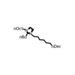 CCCCCCCCCCCCCCCCn1cc[n+](CCCCCCCC)c1CCCC